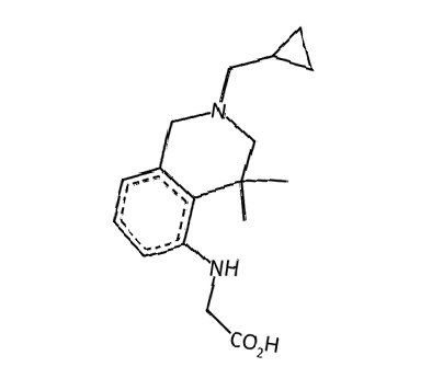 CC1(C)CN(CC2CC2)Cc2cccc(NCC(=O)O)c21